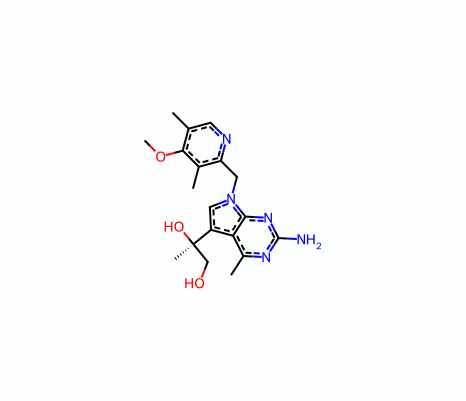 COc1c(C)cnc(Cn2cc([C@](C)(O)CO)c3c(C)nc(N)nc32)c1C